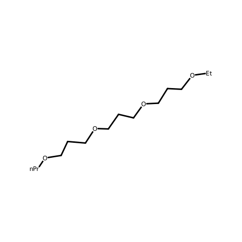 [CH2]CCOCCCOCCCOCCCOCC